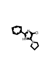 Clc1nc(-c2ccccc2)[nH]c1N1CCCC1